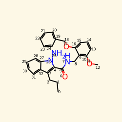 CCCc1c(C(=O)NCc2c(OC)cccc2OCc2ccccc2)n(N)c2ccccc12